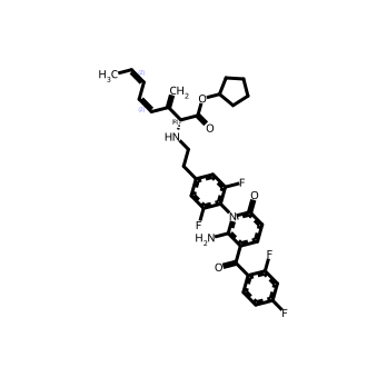 C=C(/C=C\C=C/C)[C@@H](NCCc1cc(F)c(-n2c(N)c(C(=O)c3ccc(F)cc3F)ccc2=O)c(F)c1)C(=O)OC1CCCC1